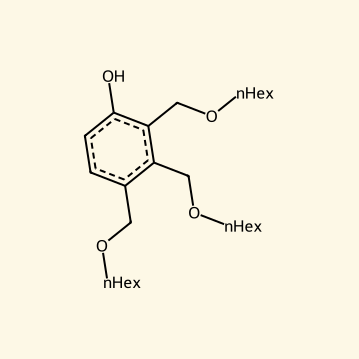 CCCCCCOCc1ccc(O)c(COCCCCCC)c1COCCCCCC